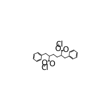 O=C(OCl)C(CCC(Cc1ccccc1)C(=O)OCl)Cc1ccccc1